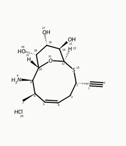 C#C[C@@H]1CC=C[C@@H](C)[C@@H](N)[C@H]2O[C@H](S1)[C@H](O)[C@@H](O)[C@H]2O.Cl